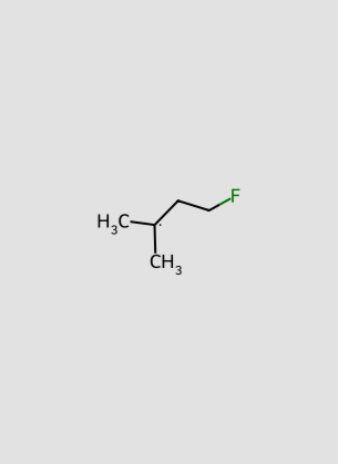 C[C](C)CCF